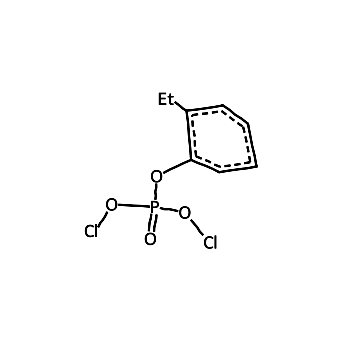 CCc1ccccc1OP(=O)(OCl)OCl